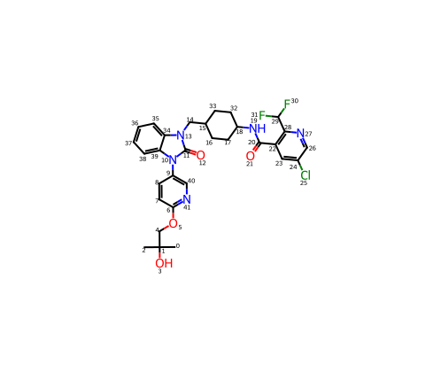 CC(C)(O)COc1ccc(-n2c(=O)n(CC3CCC(NC(=O)c4cc(Cl)cnc4C(F)F)CC3)c3ccccc32)cn1